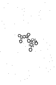 C[Si]1(C)c2cc(-n3c4ccccc4c4cc5c6ccccc6n(-c6ccccc6)c5cc43)ccc2-c2nc(-c3ccccc3)nc(-c3ccccc3)c21